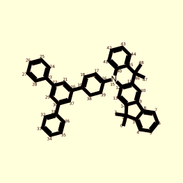 CC1(C)c2ccccc2-c2cc3c(cc21)N(C1=CC=C(c2cc(-c4ccccc4)cc(-c4ccccc4)c2)CC1)c1ccccc1C3(C)C